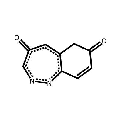 O=C1C=Cc2nncc(=O)cc2C1